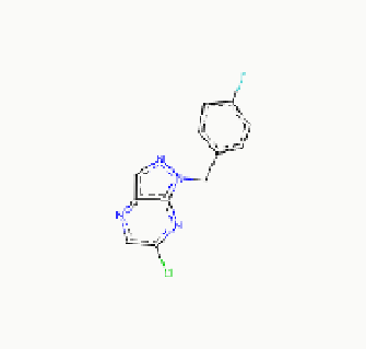 Fc1ccc(Cn2ncc3ncc(Cl)nc32)cc1